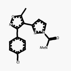 CNC(=O)n1ccc(-c2c(-c3ccc(Cl)cc3)noc2C)n1